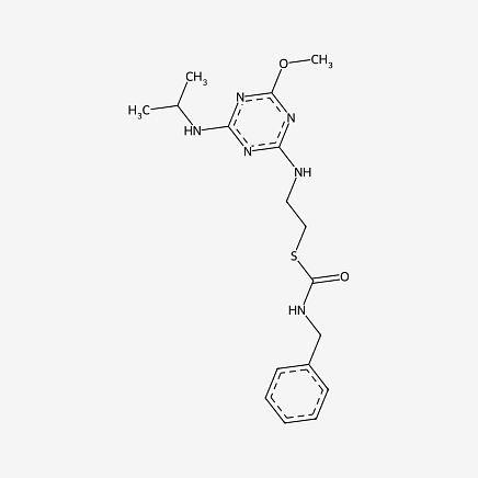 COc1nc(NCCSC(=O)NCc2ccccc2)nc(NC(C)C)n1